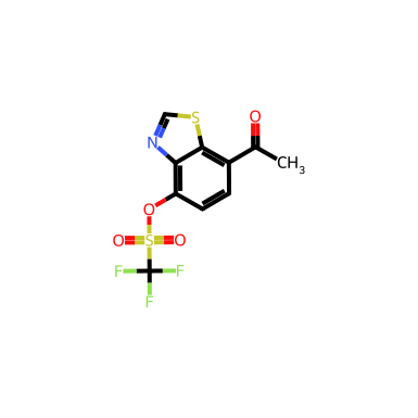 CC(=O)c1ccc(OS(=O)(=O)C(F)(F)F)c2ncsc12